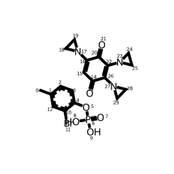 Cc1ccc(OP(=O)(O)O)c(Br)c1.O=C1C=C(N2CC2)C(=O)C(N2CC2)=C1N1CC1